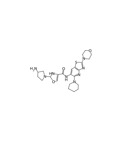 NC1CCN(C2NC(C(=O)Nc3cc4sc(N5CCOCC5)nc4nc3N3CCCCC3)=CO2)C1